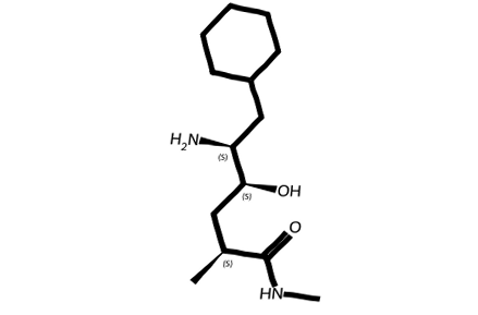 CNC(=O)[C@@H](C)C[C@H](O)[C@@H](N)CC1CCCCC1